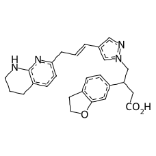 O=C(O)CC(Cn1cc(C=CCc2ccc3c(n2)NCCC3)cn1)c1ccc2c(c1)OCC2